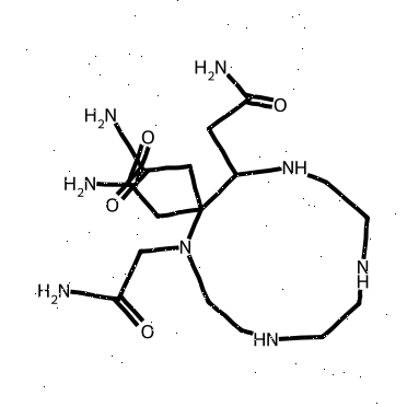 NC(=O)CC1NCCNCCNCCN(CC(N)=O)C1(CC(N)=O)CC(N)=O